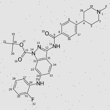 CN1CCC(c2ccc(C(=O)Nc3nn(C(=O)OC(C)(C)C)c4cc(Nc5ccccc5F)ccc34)cc2)CC1